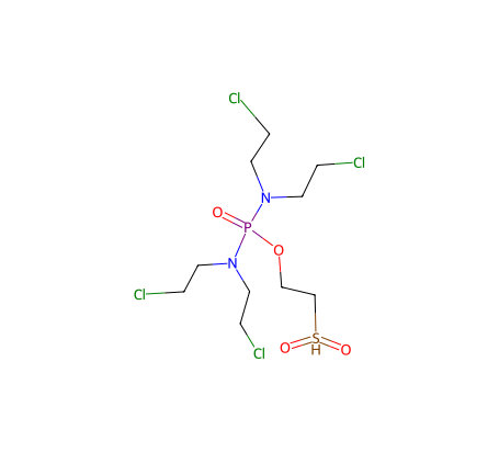 O=[SH](=O)CCOP(=O)(N(CCCl)CCCl)N(CCCl)CCCl